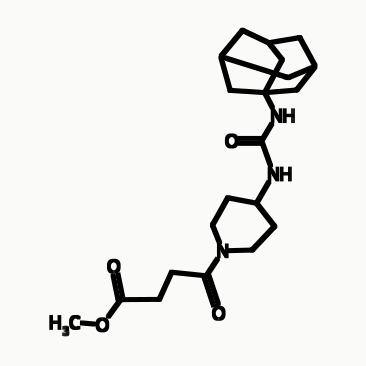 COC(=O)CCC(=O)N1CCC(NC(=O)NC23CC4CC(CC(C4)C2)C3)CC1